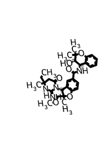 CCC1(C)CC(=O)N([C@H]2c3cc(C(=O)N[C@@H]4c5ccccc5OC(C)(C)[C@H]4O)ccc3OC2(C)COC)C(=N)N1